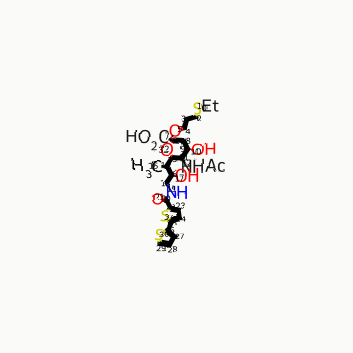 CCSCCCO[C@]1(C(=O)O)C[C@H](O)[C@@H](NC(C)=O)C([C@H](C)[C@H](O)CNC(=O)c2ccc(-c3cccs3)s2)O1